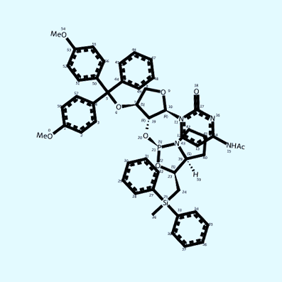 COc1ccc(C(O[C@H]2CO[C@@H](n3ccc(NC(C)=O)nc3=O)[C@@H]2O[P@]2O[C@H](C[Si](C)(c3ccccc3)c3ccccc3)[C@@H]3CCCN32)(c2ccccc2)c2ccc(OC)cc2)cc1